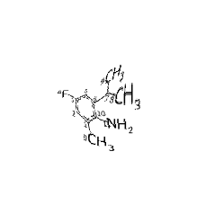 Cc1cc(F)cc(C(C)C)c1N